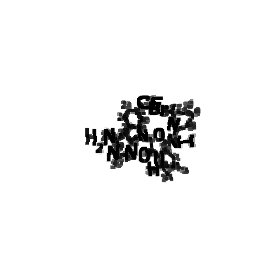 C[C@@]12C[C@@H](C(=O)Nc3cccc(Br)n3)N(C(=O)Cn3c4cc(C(F)(F)F)ccc4c4c(N)ncnc43)[C@@H]1C2